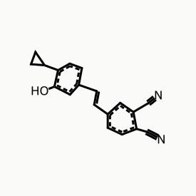 N#Cc1ccc(/C=C/c2ccc(C3CC3)c(O)c2)cc1C#N